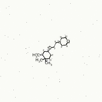 C[C@H]1C[C@@H](OCCN2CCOCC2)CCC1(C)C